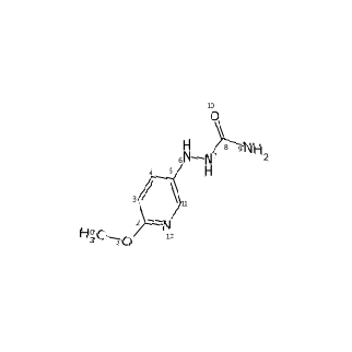 COc1ccc(NNC(N)=O)cn1